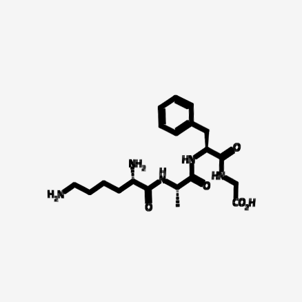 C[C@H](NC(=O)[C@@H](N)CCCCN)C(=O)N[C@@H](Cc1ccccc1)C(=O)NCC(=O)O